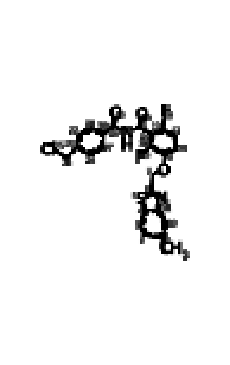 Cc1ccc2sc(COc3ccc(F)c(C(=O)NC(=O)c4ccc(CCl)cc4)c3F)nc2c1